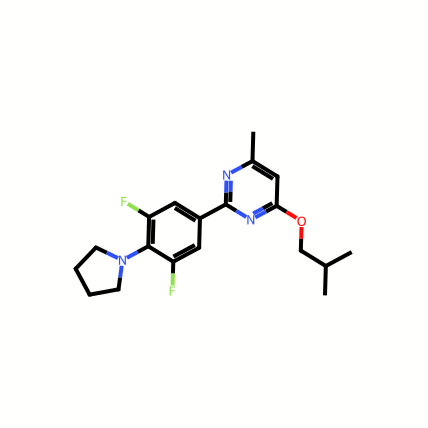 Cc1cc(OCC(C)C)nc(-c2cc(F)c(N3CCCC3)c(F)c2)n1